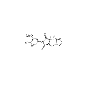 COc1cc(N2C(=O)C(C)(C)N(CC3CCOC3=O)C2=S)cnc1C#N